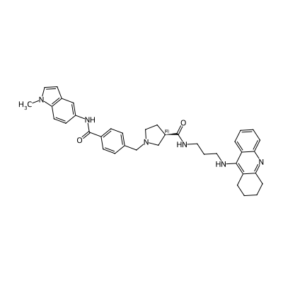 Cn1ccc2cc(NC(=O)c3ccc(CN4CC[C@@H](C(=O)NCCCNc5c6c(nc7ccccc57)CCCC6)C4)cc3)ccc21